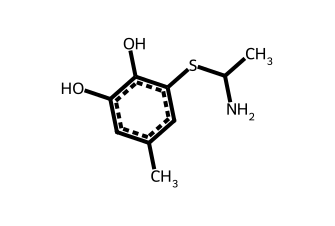 Cc1cc(O)c(O)c(SC(C)N)c1